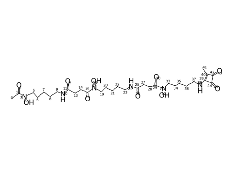 CC(=O)N(O)CCCCCNC(=O)CCC(=O)N(O)CCCCCNC(=O)CCC(=O)N(O)CCCCCNc1c(C)c(=O)c1=O